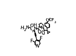 NC(=O)C[C@@H](C#Cc1c(F)cncc1F)NC(=O)[C@@H]1CCCN1C(=O)C1(c2ccc(OC(F)(F)F)cc2)CC1